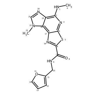 CNc1nc2sc(C(=O)NCc3ccco3)nc2c2c1ncn2C